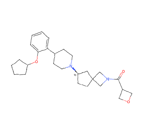 O=C(C1COC1)N1CC2(CC[C@@H](N3CCC(c4ccccc4OC4CCCC4)CC3)C2)C1